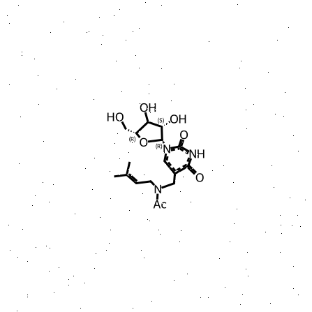 CC(=O)N(CC=C(C)C)Cc1cn([C@@H]2O[C@H](CO)C(O)[C@@H]2O)c(=O)[nH]c1=O